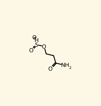 NC(=O)CCO[SH](=O)=O